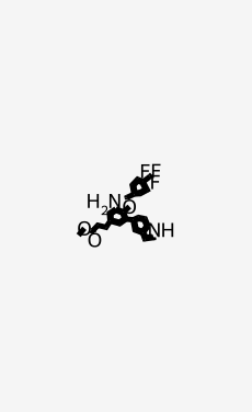 COC(=O)CCc1cc(N)c(OCc2ccc(C(F)(F)F)cc2)c(-c2ccc3[nH]ccc3c2)c1